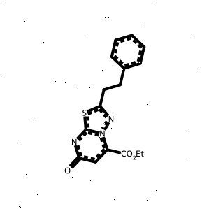 CCOC(=O)c1cc(=O)nc2sc(CCc3ccccc3)nn12